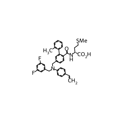 C=Cc1ccc(N(Cc2cc(F)cc(F)c2)Cc2ccc(C(=O)N[C@@H](CCSC)C(=O)O)c(-c3ccccc3C)c2)cc1